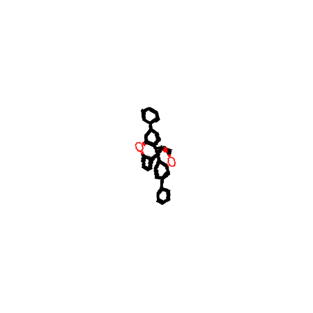 C1=CC2OC3C=C(c4ccccc4)C=CC3C3(C4=C(CC(c5ccccc5)C=C4)Oc4ccccc43)C2C=C1